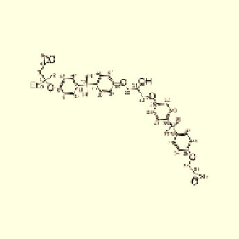 CCC(C)(CC1CO1)Oc1ccc(C(C)(C)c2ccc(OCC(O)COc3ccc(C(C)(C)c4ccc(OCC5CO5)cc4)cc3)cc2)cc1